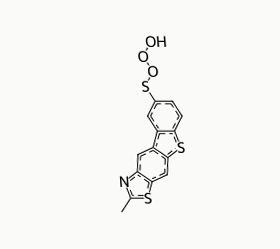 Cc1nc2cc3c(cc2s1)sc1ccc(SOOO)cc13